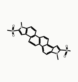 Cn1c(S(C)(=O)=O)cc2c3ccc4c(ccc5c4ccc4c5cc(S(C)(=O)=O)n4C)c3ccc21